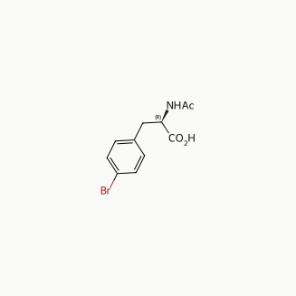 CC(=O)N[C@H](Cc1ccc(Br)cc1)C(=O)O